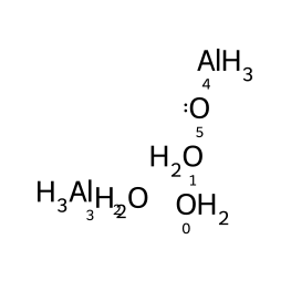 O.O.O.[AlH3].[AlH3].[O]